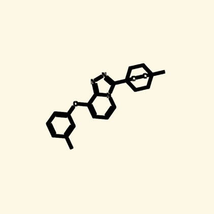 Cc1cccc(Oc2cccn3c(C45CCC(C)(CC4)CC5)nnc23)c1